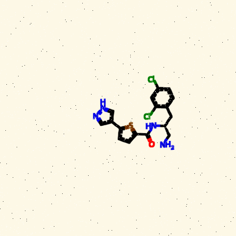 NC[C@H](Cc1ccc(Cl)cc1Cl)NC(=O)c1ccc(-c2cn[nH]c2)s1